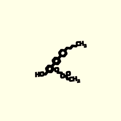 C=CC(=O)OCCOc1cc(CO)ccc1-c1ccc(C2CCC(CCCCC)CC2)cc1